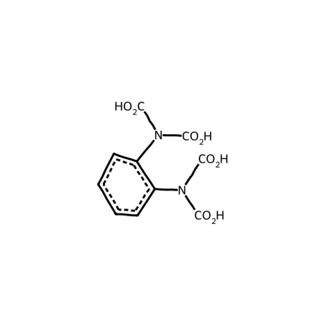 O=C(O)N(C(=O)O)c1ccccc1N(C(=O)O)C(=O)O